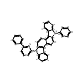 c1ccc(-c2cccc(-n3c4ccccc4c4c5ccc6c(c5ccc43)c3ccccc3n6-c3ccccc3)n2)cc1